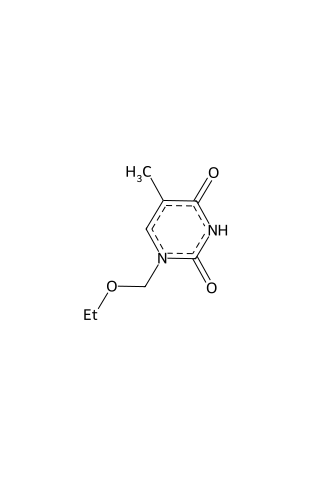 CCOCn1cc(C)c(=O)[nH]c1=O